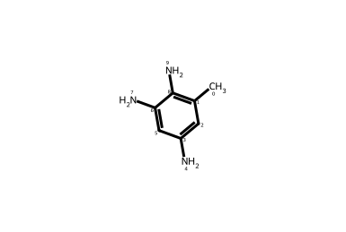 Cc1cc(N)cc(N)c1N